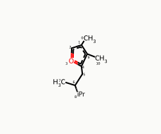 Cc1coc(CC(C)C(C)C)c1C